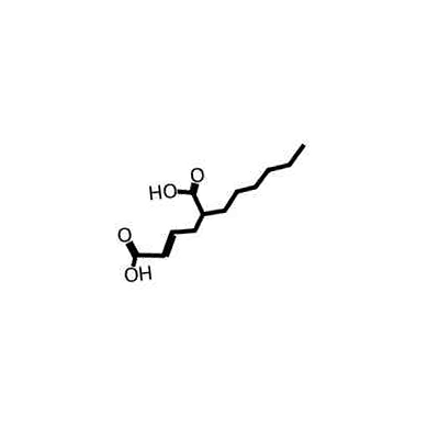 CCCCCCC(CC=CC(=O)O)C(=O)O